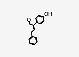 O=CC(=CCc1ccccc1)c1ccc(O)cc1